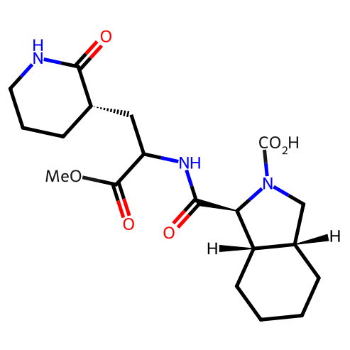 COC(=O)C(C[C@@H]1CCCNC1=O)NC(=O)[C@@H]1[C@H]2CCCC[C@H]2CN1C(=O)O